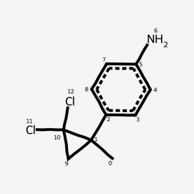 CC1(c2ccc(N)cc2)CC1(Cl)Cl